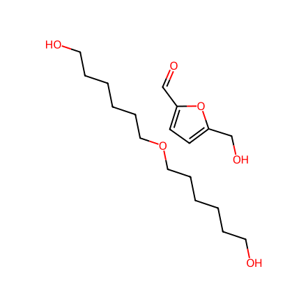 O=Cc1ccc(CO)o1.OCCCCCCOCCCCCCO